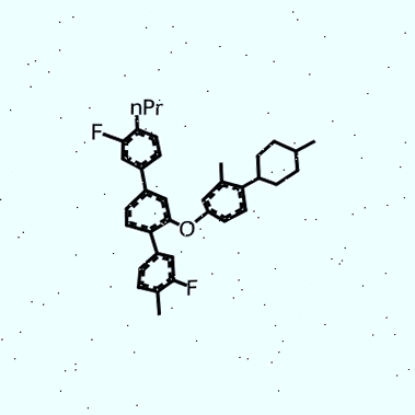 CCCc1ccc(-c2ccc(-c3ccc(C)c(F)c3)c(Oc3ccc(C4CCC(C)CC4)c(C)c3)c2)cc1F